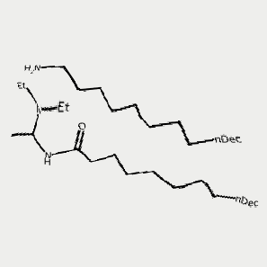 CCCCCCCCCCCCCCCCCC(=O)NC(C)N(CC)CC.CCCCCCCCCCCCCCCCCCN